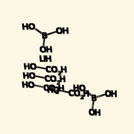 O=C(O)O.O=C(O)O.O=C(O)O.O=C(O)O.OB(O)O.OB(O)O.[LiH]